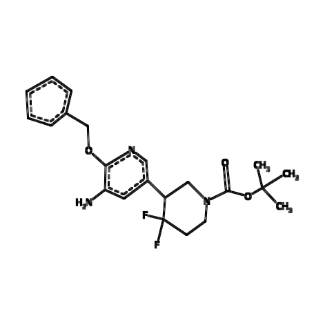 CC(C)(C)OC(=O)N1CCC(F)(F)C(c2cnc(OCc3ccccc3)c(N)c2)C1